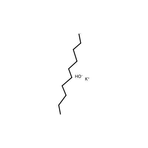 [CH2]CCCCCCCCC.[K+].[OH-]